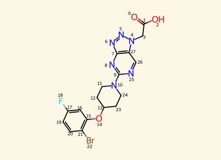 O=C(O)Cn1nnc2nc(N3CCC(Oc4cc(F)ccc4Br)CC3)ncc21